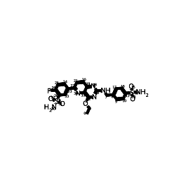 CCOc1nc(NCc2ccc(S(N)(=O)=O)cc2)nc2ccc(-c3ccc(F)c(S(N)(=O)=O)c3)nc12